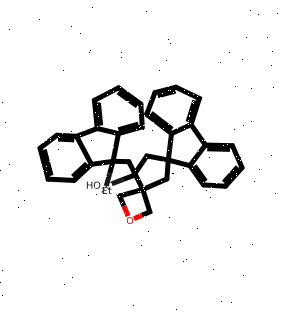 CCC1(CC2(CC3(CCC(=O)O)c4ccccc4-c4ccccc43)COC2)c2ccccc2-c2ccccc21